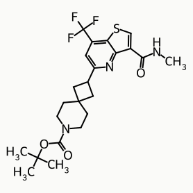 CNC(=O)c1csc2c(C(F)(F)F)cc(C3CC4(CCN(C(=O)OC(C)(C)C)CC4)C3)nc12